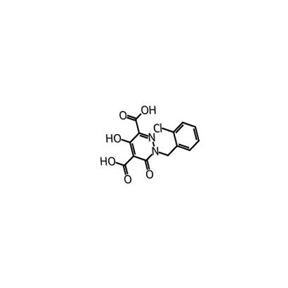 O=C(O)c1nn(Cc2ccccc2Cl)c(=O)c(C(=O)O)c1O